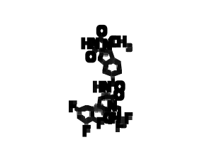 C[C@@H]1[C@H](c2cc(F)cc(F)c2F)C[C@H](NC(=O)c2ccc3c(c2)C[C@@]2(C3)C(=O)NC(=O)N2C)C(=O)N1CC(F)(F)F